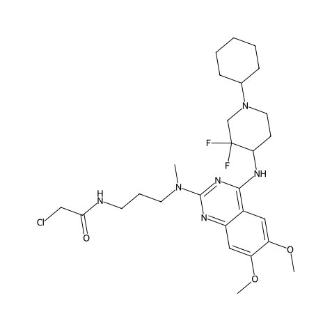 COc1cc2nc(N(C)CCCNC(=O)CCl)nc(NC3CCN(C4CCCCC4)CC3(F)F)c2cc1OC